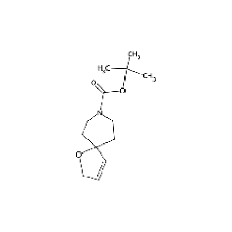 CC(C)(C)OC(=O)N1CCC2(C=CCO2)CC1